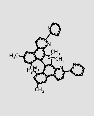 Cc1cc(C)c2c3c(c4nc(-c5ccccn5)ccc4c2c1)[Si](C)(C)c1c-3c2c(C)cc(C)cc2c2ccc(-c3ccccn3)nc12